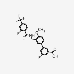 COc1ccc(-c2cc(F)cc(C(=O)O)c2)cc1CNC(=O)c1ccc(C(F)(F)F)cc1F